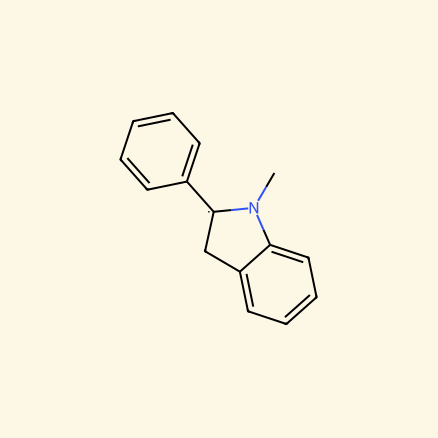 CN1[C](c2ccccc2)Cc2ccccc21